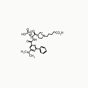 CN(C)c1cc(C(=O)N[C@@H](CP(=O)(O)O)C(=O)N2CCN(CCCCC(=O)O)CC2)nc(-c2ccccc2)n1